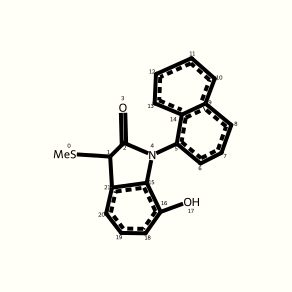 CSC1C(=O)N(c2cccc3ccccc23)c2c(O)cccc21